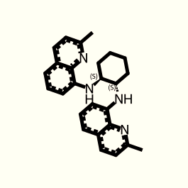 Cc1ccc2cccc(N[C@H]3CCCC[C@@H]3Nc3cccc4ccc(C)nc34)c2n1